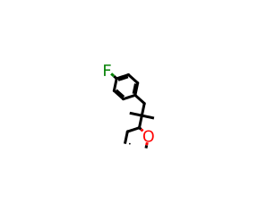 [CH2]CC(OC)C(C)(C)Cc1ccc(F)cc1